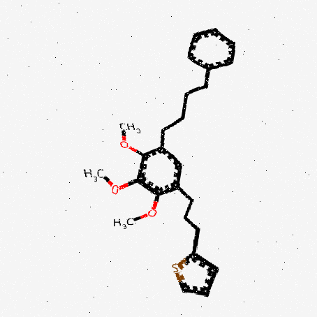 COc1c(CCCCc2ccccc2)[c]c(CCCc2cccs2)c(OC)c1OC